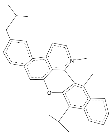 Cc1c2c(c(C(C)C)c3ccccc13)Oc1cc3ccc(CC(C)C)cc3c3cc[n+](C)c-2c13